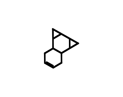 C1=CCC2C(C1)C1CC1C1CC21